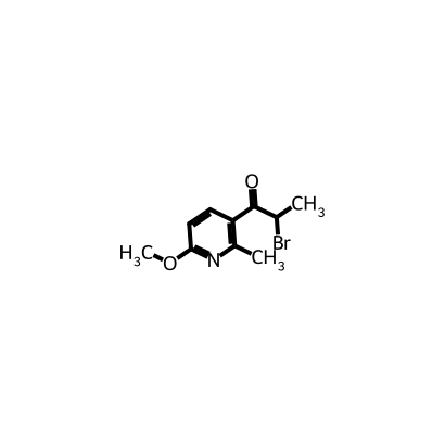 COc1ccc(C(=O)C(C)Br)c(C)n1